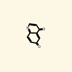 O=C1C=CC2=NC=CC(=O)C2=C1